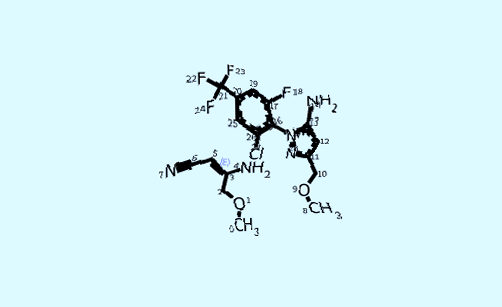 COC/C(N)=C\C#N.COCc1cc(N)n(-c2c(F)cc(C(F)(F)F)cc2Cl)n1